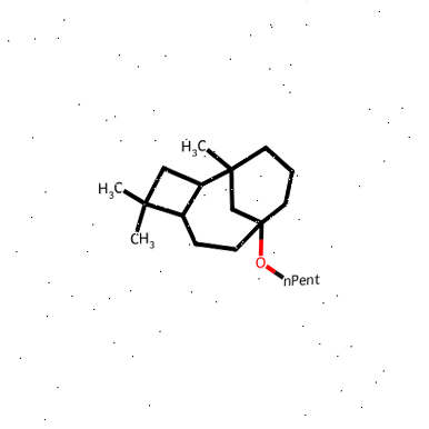 CCCCCOC12CCCC(C)(C1)C1CC(C)(C)C1CC2